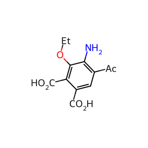 CCOc1c(N)c(C(C)=O)cc(C(=O)O)c1C(=O)O